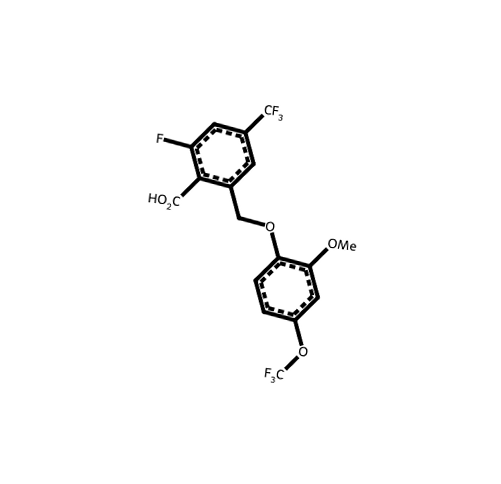 COc1cc(OC(F)(F)F)ccc1OCc1cc(C(F)(F)F)cc(F)c1C(=O)O